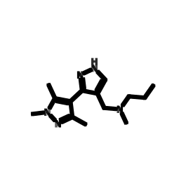 CCCN(C)Cc1c[nH]nc1-c1c(C)nn(C)c1C